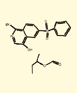 CCC(C)OC=O.O=S(=O)(c1ccccc1)c1ccc2c(Br)ncc(O)c2c1